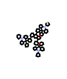 c1ccc(N2c3ccccc3C(c3ccccc3)(c3cccc(-c4cccc5c(-c6cccc(C7(c8ccccc8)c8ccccc8N(c8ccccc8)c8ccccc87)c6)c6cccc(-c7cccc(C8(c9ccccc9)c9ccccc9N(c9ccccc9)c9ccccc98)c7)c6cc45)c3)c3ccccc32)cc1